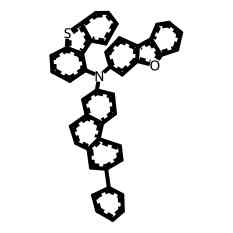 c1ccc(-c2ccc3c(ccc4cc(N(c5ccc6c(c5)oc5ccccc56)c5cccc6sc7ccccc7c56)ccc43)c2)cc1